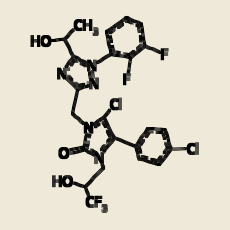 CC(O)c1nc(Cn2c(Cl)c(-c3ccc(Cl)cc3)n(CC(O)C(F)(F)F)c2=O)nn1-c1cccc(F)c1F